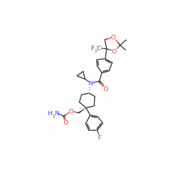 CC1(C)OCC(c2ccc(C(=O)N(C3CC3)[C@H]3CC[C@@](COC(N)=O)(c4ccc(F)cc4)CC3)cc2)(C(F)(F)F)O1